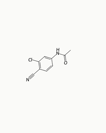 CC(=O)Nc1ccc(C#N)c(Cl)c1